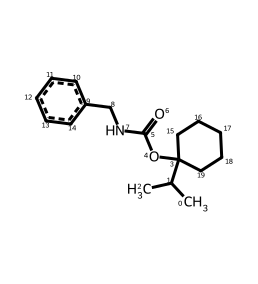 CC(C)C1(OC(=O)NCc2ccccc2)CCCCC1